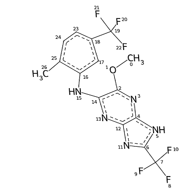 COc1nc2[nH]c(C(F)(F)F)nc2nc1Nc1cc(C(F)(F)F)ccc1C